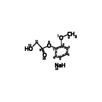 COc1ccccc1OC(=O)CO.[NaH]